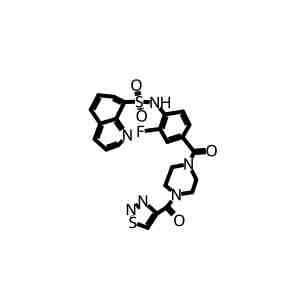 O=C(c1ccc(NS(=O)(=O)c2cccc3cccnc23)c(F)c1)N1CCN(C(=O)c2csnn2)CC1